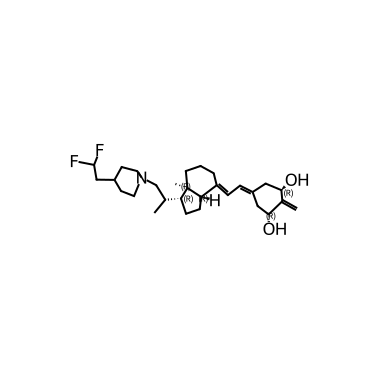 C=C1[C@H](O)CC(=CC=C2CCC[C@]3(C)[C@@H](C(C)CN4CCC(CC(F)F)CC4)CC[C@@H]23)C[C@H]1O